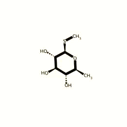 CS[C@H]1O[C@@H](C)[C@H](O)[C@@H](O)[C@@H]1O